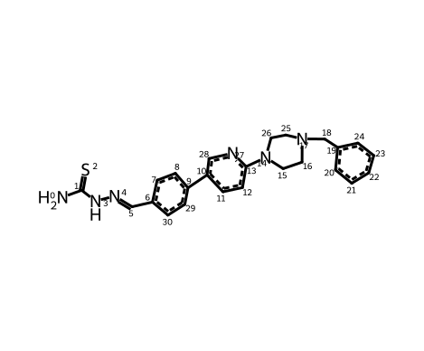 NC(=S)NN=Cc1ccc(-c2ccc(N3CCN(Cc4ccccc4)CC3)nc2)cc1